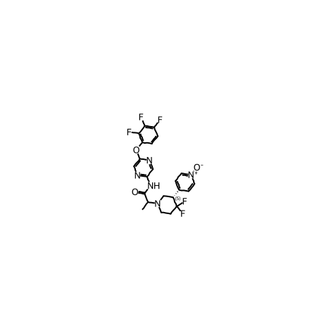 CC(C(=O)Nc1cnc(Oc2ccc(F)c(F)c2F)cn1)N1CCC(F)(F)[C@@H](c2cc[n+]([O-])cc2)C1